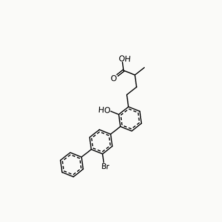 CC(CCc1cccc(-c2ccc(-c3ccccc3)c(Br)c2)c1O)C(=O)O